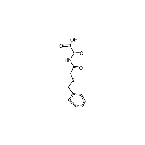 O=C(CSCc1ccccc1)NC(=O)C(=O)O